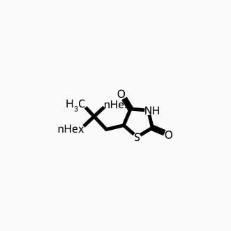 CCCCCCC(C)(CCCCCC)CC1SC(=O)NC1=O